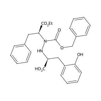 CCOC(=O)[C@H](Cc1ccccc1)N(N[C@@H](Cc1ccccc1O)C(=O)O)C(=O)OCc1ccccc1